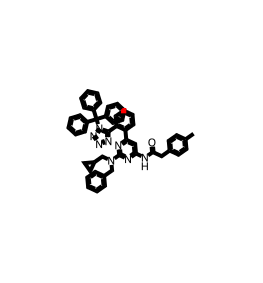 Cc1ccc(CC(=O)Nc2cc(-c3ccccc3-c3nnnn3C(c3ccccc3)(c3ccccc3)c3ccccc3)nc(N(Cc3ccccc3)CC3CC3)n2)cc1